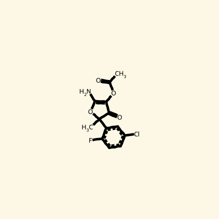 CC(=O)OC1=C(N)OC(C)(c2cc(Cl)ccc2F)C1=O